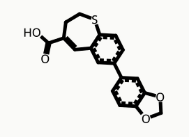 O=C(O)C1=Cc2cc(-c3ccc4c(c3)OCO4)ccc2SCC1